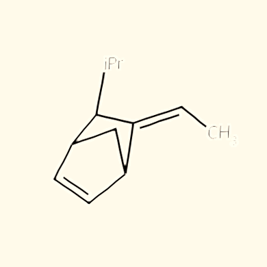 C/C=C1\C2C=CC(C2)C1C(C)C